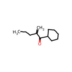 C=C(CCC)C(=O)C1CCCCC1